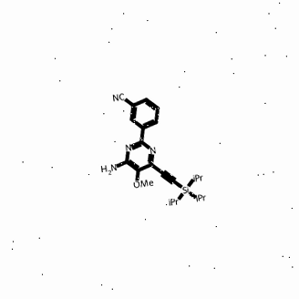 COc1c(N)nc(-c2cccc(C#N)c2)nc1C#C[Si](C(C)C)(C(C)C)C(C)C